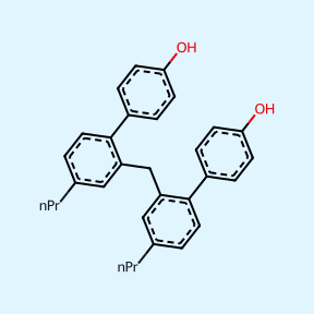 CCCc1ccc(-c2ccc(O)cc2)c(Cc2cc(CCC)ccc2-c2ccc(O)cc2)c1